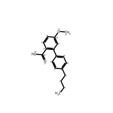 CCCCc1ccc(-c2cc(OC)ccc2C(=O)O)cc1